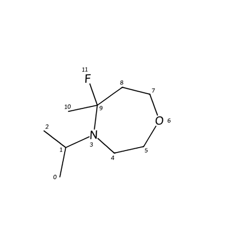 CC(C)N1CCOCCC1(C)F